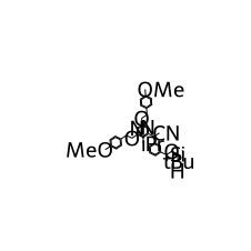 COc1ccc(COc2nc(OCc3ccc(OC)cc3)c(C(C)C)c(C(C#N)c3cccc(C(O[SiH](C)C)C(C)(C)C)c3)n2)cc1